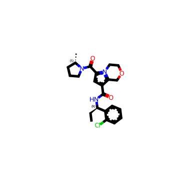 CC[C@@H](NC(=O)c1cc(C(=O)N2CCC[C@@H]2C)n2c1COCC2)c1ccccc1Cl